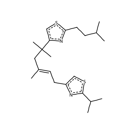 C/C(=C\Cc1csc(C(C)C)n1)CC(C)(C)c1csc(CCC(C)C)n1